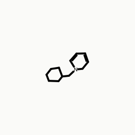 C1=CCN(CC2CCCCC2)C=C1